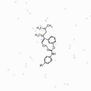 C/C=C(\c1cccc(OC(=O)Nc2ccc(C(C)C)cc2)c1)[C@@H](C)CN(C)C